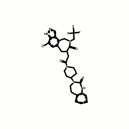 O=C(CC1Cc2cc(Cl)c3[nH]ncc3c2CN(CC(F)(F)F)C1=O)N1CCC(N2CCc3ccccc3NC2=O)CC1